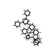 c1ccc(-c2nc(-c3ccccc3)nc(-c3cccc4c3-c3ccccc3C43c4ccccc4C4(c5ccccc5)c5ccccc5-c5cccc3c54)n2)cc1